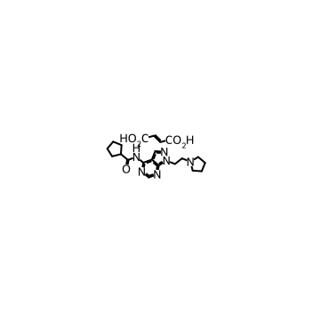 O=C(Nc1ncnc2c1cnn2CCN1CCCC1)C1CCCC1.O=C(O)C=CC(=O)O